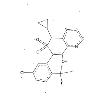 O=S1(=O)C(c2cc(Cl)ccc2C(F)(F)F)=C(O)c2nccnc2C1C1CC1